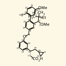 CCC(C)(C)[C@@H](OC)c1cc(COc2cccc([C@@H](CC(=O)O)CC3CC3)c2)ccc1-c1cc(OC)ccc1F